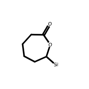 O=C1CCCCC([Si])O1